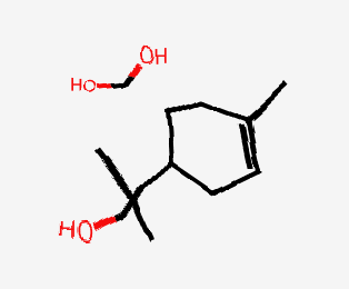 CC1=CCC(C(C)(C)O)CC1.OCO